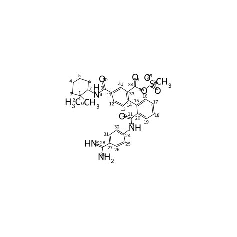 CC1(C)CCCCC1NC(=O)c1ccc(-c2ccccc2C(=O)Nc2ccc(C(=N)N)cc2)c(C(=O)OS(C)(=O)=O)c1